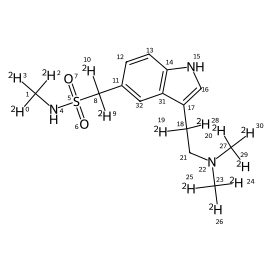 [2H]C([2H])([2H])NS(=O)(=O)C([2H])([2H])c1ccc2[nH]cc(C([2H])([2H])CN(C([2H])([2H])[2H])C([2H])([2H])[2H])c2c1